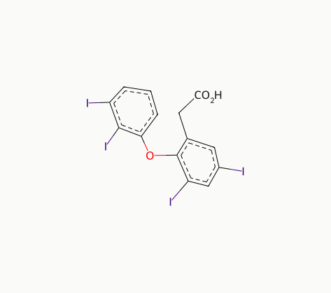 O=C(O)Cc1cc(I)cc(I)c1Oc1cccc(I)c1I